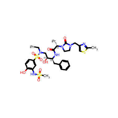 Cc1nc(CN2CCN([C@H](C(=O)N[C@@H](Cc3ccccc3)[C@@H](O)CN(CC(C)C)S(=O)(=O)c3ccc(O)c(NS(C)(=O)=O)c3)C(C)C)C2=O)cs1